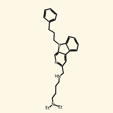 CCN(CC)CCCCNCc1cc2c3ccccc3n(CCCc3ccccc3)c2cn1